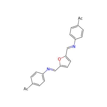 CC(=O)c1ccc(N=Cc2ccc(C=Nc3ccc(C(C)=O)cc3)o2)cc1